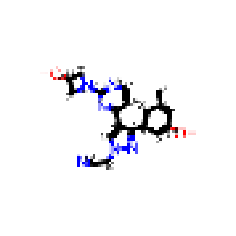 Cc1cc(O)cc(-c2nn(CC#N)cc2-c2ccnc(N3CC(O)C3)n2)c1